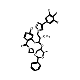 CO[C@@H](Cn1cc(-c2cc(F)c(F)c(F)c2)nn1)C(OC1COC(c2ccccc2)O[C@@H]1C)Sc1cc(Cl)ccc1C(=O)N1CCC1